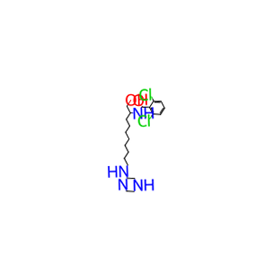 O=C(NC(CO)CCCCCCCCNC1=NCCNC1)c1c(Cl)cccc1Cl